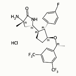 C[C@@H](O[C@H]1CC[C@@H]([C@@H]2C[C@](C)(N)C(=O)N2)[C@@H]1c1ccc(F)cc1)c1cc(C(F)(F)F)cc(C(F)(F)F)c1.Cl